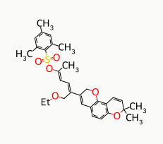 CCOC/C(=C\C=C(/C)OS(=O)(=O)c1c(C)cc(C)cc1C)C1=Cc2ccc3c(c2OC1)C=CC(C)(C)O3